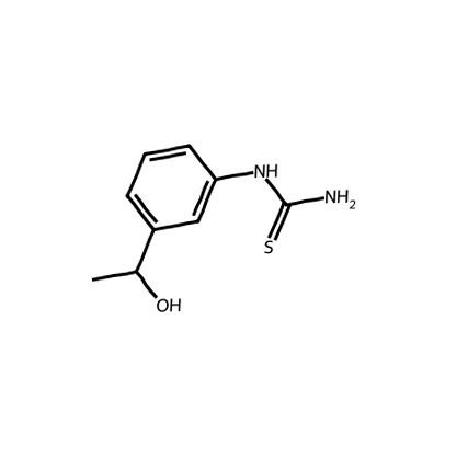 CC(O)c1cccc(NC(N)=S)c1